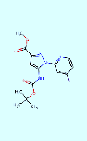 COC(=O)c1cc(NC(=O)OC(C)(C)C)n(-c2cc(I)ccn2)n1